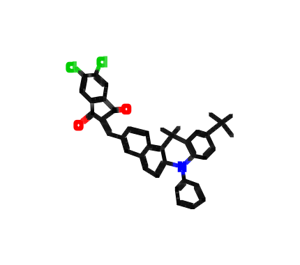 CC(C)(C)c1ccc2c(c1)C(C)(C)c1c(ccc3cc(C=C4C(=O)c5cc(Cl)c(Cl)cc5C4=O)ccc13)N2c1ccccc1